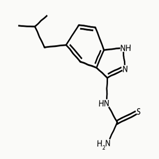 CC(C)Cc1ccc2[nH]nc(NC(N)=S)c2c1